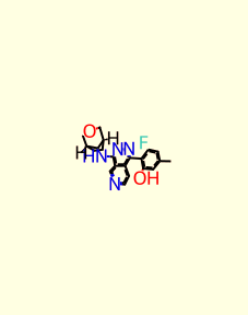 Cc1cc(O)c(-c2nnc(NC3[C@@H]4CC[C@H]3COC4)c3cnccc23)c(F)c1